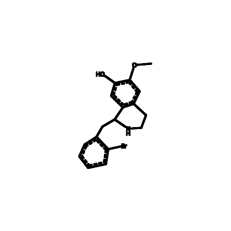 COc1cc2c(cc1O)C(Cc1ccccc1Br)NCC2